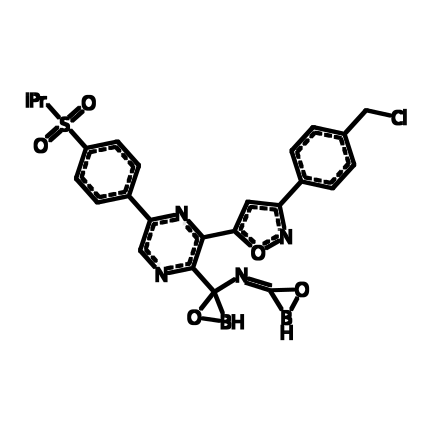 CC(C)S(=O)(=O)c1ccc(-c2cnc(C3(/N=C4\BO4)BO3)c(-c3cc(-c4ccc(CCl)cc4)no3)n2)cc1